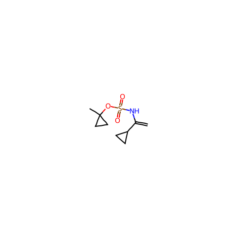 C=C(NS(=O)(=O)OC1(C)CC1)C1CC1